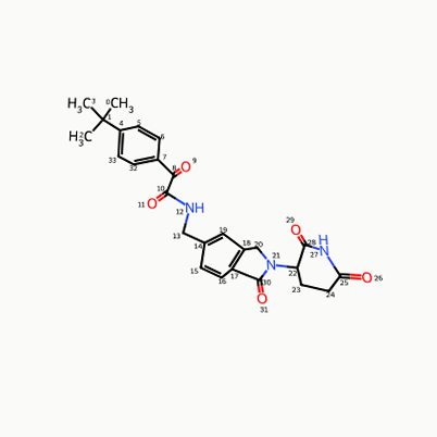 CC(C)(C)c1ccc(C(=O)C(=O)NCc2ccc3c(c2)CN(C2CCC(=O)NC2=O)C3=O)cc1